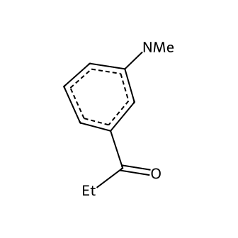 CCC(=O)c1cccc(NC)c1